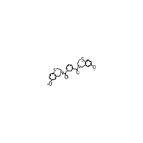 COc1ccc2c(c1)CN(C(=O)c1cccc(C(=O)N3CCSc4ccc(OC)cc4C3)c1)CCS2